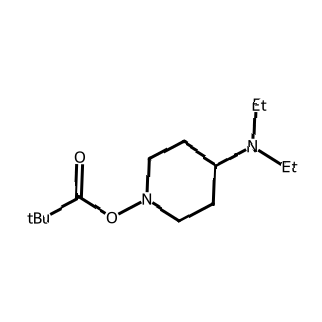 CCN(CC)C1CCN(OC(=O)C(C)(C)C)CC1